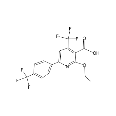 CCOc1nc(-c2ccc(C(F)(F)F)cc2)cc(C(F)(F)F)c1C(=O)O